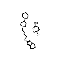 O=C(O)/C=C\C(=O)O.c1c(OCCCCN2CCC(N3CCCCC3)CC2)nn2c1CCCC2